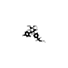 CCC(F)(F)c1ccc([C@@H]2C(=O)N(C)C(=N)N[C@]2(C)c2ccc(F)cc2F)cc1